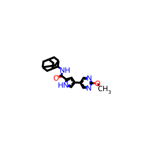 COc1ncc(-c2c[nH]c(C(=O)NC3C4CC5CC(C4)CC3C5)c2)cn1